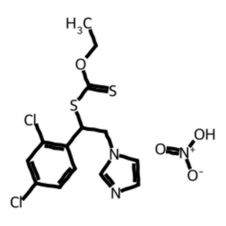 CCOC(=S)SC(Cn1ccnc1)c1ccc(Cl)cc1Cl.O=[N+]([O-])O